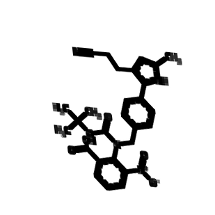 Cc1cc(CCC#N)c(-c2ccc(CN(C(=O)OC(C)(C)C)c3c(C(=O)O)cccc3[N+](=O)[O-])cc2)[nH]1